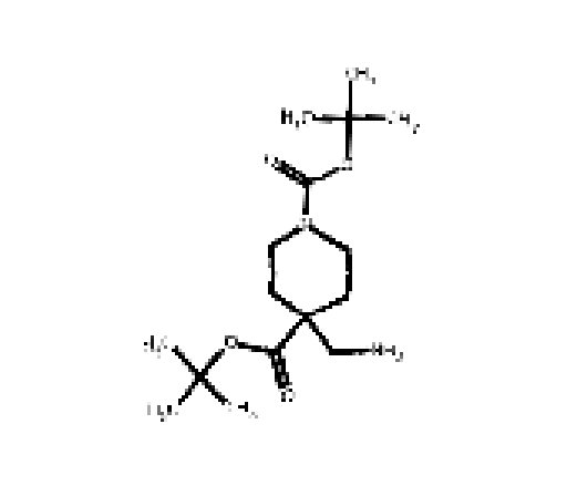 CC(C)(C)OC(=O)N1CCC(CN)(C(=O)OC(C)(C)C)CC1